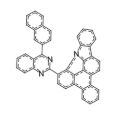 c1ccc2cc(-c3nc(-c4ccc5c6ccccc6c6ccc7c8ccccc8n8c4c5c6c78)nc4ccccc34)ccc2c1